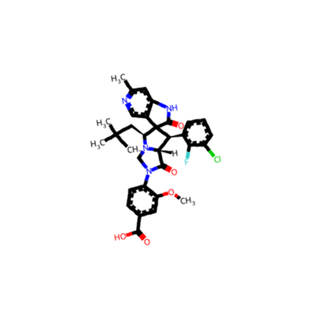 COc1cc(C(=O)O)ccc1N1CN2[C@@H](CC(C)(C)C)C3(C(=O)Nc4cc(C)ncc43)[C@@H](c3cccc(Cl)c3F)[C@@H]2C1=O